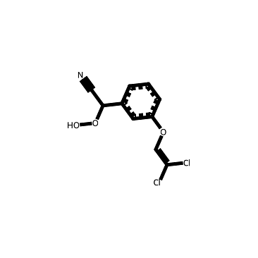 N#CC(OO)c1cccc(OC=C(Cl)Cl)c1